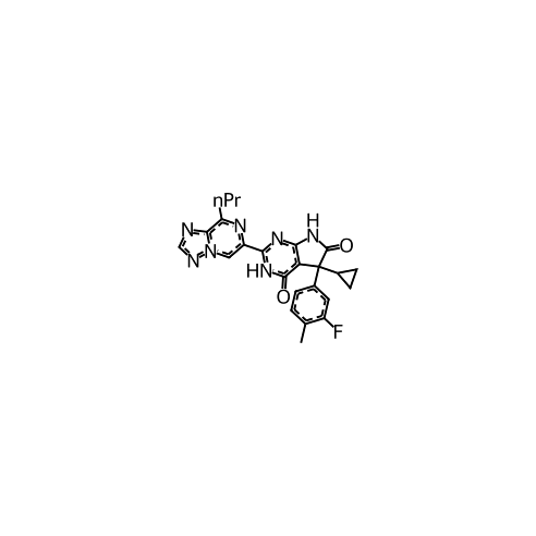 CCCc1nc(-c2nc3c(c(=O)[nH]2)C(c2ccc(C)c(F)c2)(C2CC2)C(=O)N3)cn2ncnc12